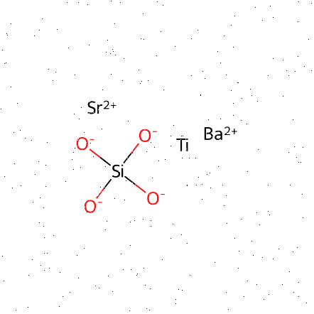 [Ba+2].[O-][Si]([O-])([O-])[O-].[Sr+2].[Ti]